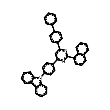 c1ccc(-c2ccc(-c3cc(-c4ccc(-n5c6ccccc6c6ccccc65)cc4)nc(-c4cccc5ccccc45)n3)cc2)cc1